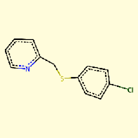 Clc1ccc(SCc2ccccn2)cc1